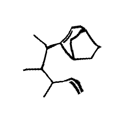 C=CC(C)C(C)C(C)C1=CC2CCC1C2